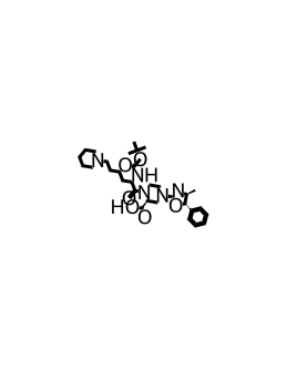 C[C@@H]1N=C(N2CCN(C(=O)C(CCCCN3CCCCC3)NC(=O)OC(C)(C)C)[C@H](C(=O)O)C2)O[C@H]1c1ccccc1